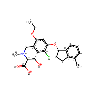 CCOc1cc(O[C@H]2CCc3c(C)cccc32)c(Cl)cc1CN(C)[C@@H](CO)C(=O)O